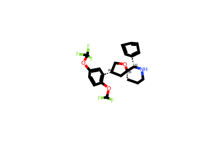 FC(F)Oc1ccc(OC(F)(F)F)cc1[C@@H]1CO[C@]2(CCCN[C@H]2c2ccccc2)C1